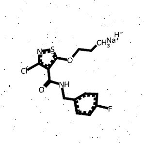 CCCOc1snc(Cl)c1C(=O)NCc1ccc(F)cc1.[H-].[Na+]